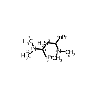 CCCC([SiH2]C(CCC)N(C)C)N(C)C